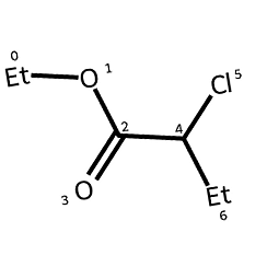 CCOC(=O)C(Cl)CC